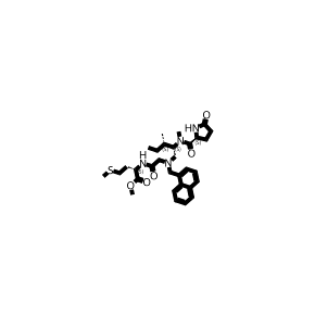 CC[C@H](C)[C@@H](CN(CC(=O)N[C@@H](CCSC)C(=O)OC)Cc1cccc2ccccc12)N(C)C(=O)[C@@H]1CCC(=O)N1